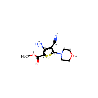 COC(=O)c1sc(N2CCOCC2)c(C#N)c1N